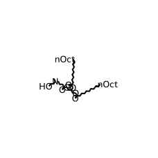 CCCCCCCCC=CCCCCCCCC(=O)OCC(COC(=O)CCCN(C)CCO)OC(=O)CCCCCCCC=CCCCCCCCC